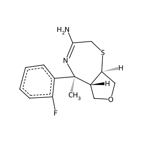 C[C@]1(c2ccccc2F)N=C(N)CS[C@H]2COC[C@@H]21